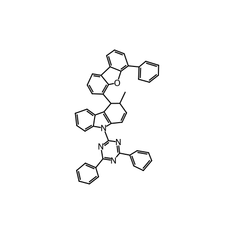 CC1C=Cc2c(c3ccccc3n2-c2nc(-c3ccccc3)nc(-c3ccccc3)n2)C1c1cccc2c1oc1c(-c3ccccc3)cccc12